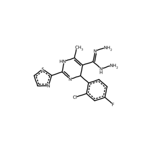 CC1=C(/C(=N/N)NN)C(c2ccc(F)cc2Cl)N=C(c2nccs2)N1